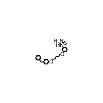 NC(=S)Nc1cccc(OCCCCCOc2ccc(Cc3ccccc3)cc2)c1